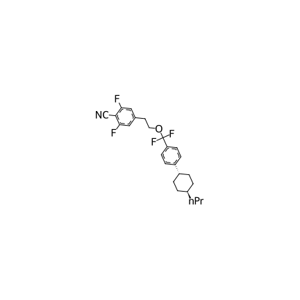 CCC[C@H]1CC[C@H](c2ccc(C(F)(F)OCCc3cc(F)c(C#N)c(F)c3)cc2)CC1